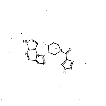 C[C@@H]1CCN(C(=O)c2cn[nH]c2)C[C@@H]1c1ncc2cnc3[nH]ccc3n12